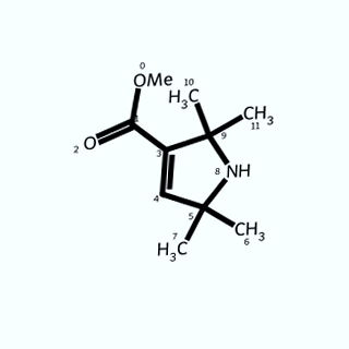 COC(=O)C1=CC(C)(C)NC1(C)C